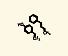 C=CC=Cc1ccccc1.C=Cc1ccc(O)cc1